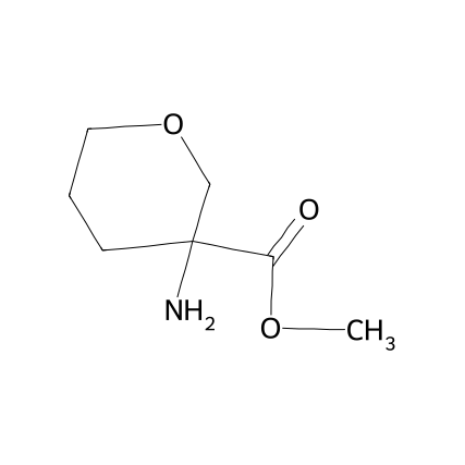 COC(=O)C1(N)CCCOC1